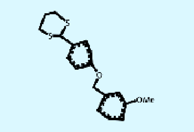 COc1cccc(COc2ccc(C3SCCCS3)cc2)c1